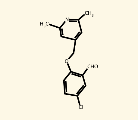 Cc1cc(COc2ccc(Cl)cc2C=O)cc(C)n1